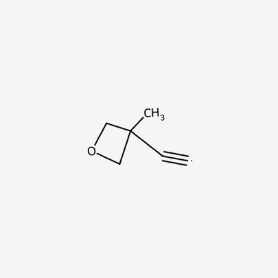 [C]#CC1(C)COC1